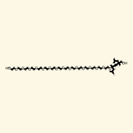 CC(C)CC(C)(C#CC(C)(CC(C)C)OCCOCCOCCOCCOCCOCCOCCOCCOCCOCCOCCOCCOCCOCCOCCO)CO